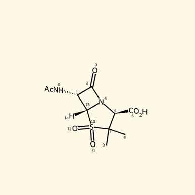 CC(=O)N[C@@H]1C(=O)N2[C@@H](C(=O)O)C(C)(C)S(=O)(=O)[C@H]12